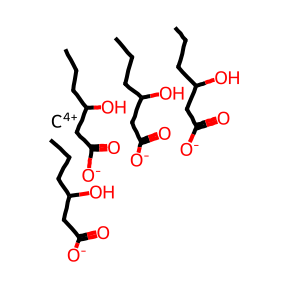 CCCC(O)CC(=O)[O-].CCCC(O)CC(=O)[O-].CCCC(O)CC(=O)[O-].CCCC(O)CC(=O)[O-].[C+4]